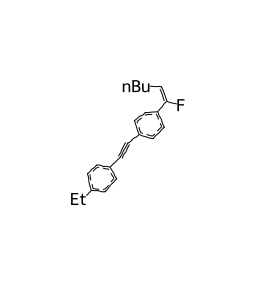 CCCC/C=C(/F)c1ccc(C#Cc2ccc(CC)cc2)cc1